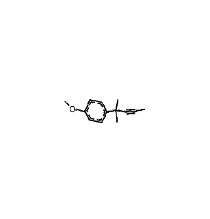 CC#CC(C)(C)c1ccc(OC)cc1